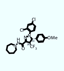 COc1ccc([C@@H]2[C@@H](C(F)(F)F)C(C(=O)NN3CCCCCC3)=NN2c2ccc(Cl)cc2Cl)cc1